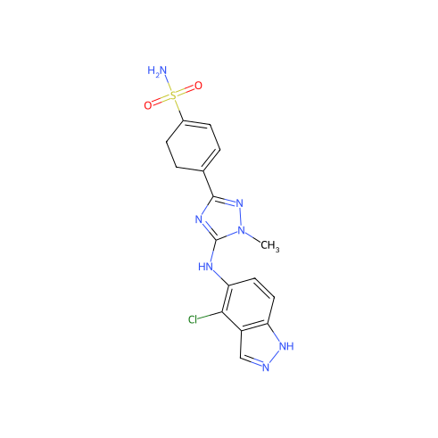 Cn1nc(C2=CC=C(S(N)(=O)=O)CC2)nc1Nc1ccc2[nH]ncc2c1Cl